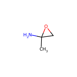 CC1(N)CO1